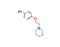 CC(C)c1ccc(OCCN2CCCCC2)cc1